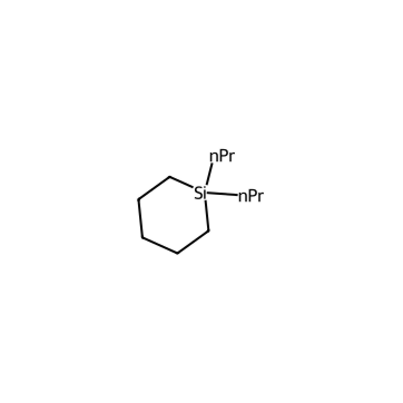 CCC[Si]1(CCC)CCCCC1